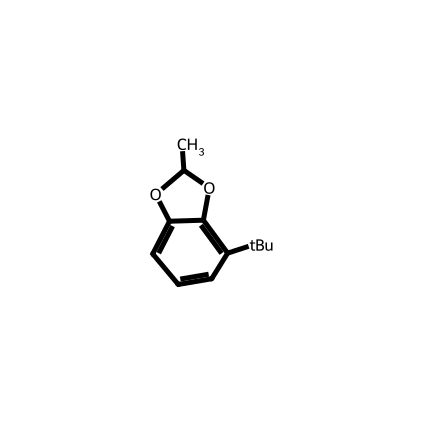 CC1Oc2cccc(C(C)(C)C)c2O1